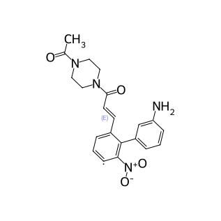 CC(=O)N1CCN(C(=O)/C=C/c2cc[c]c([N+](=O)[O-])c2-c2cccc(N)c2)CC1